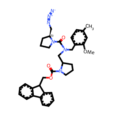 COc1cc(C)ccc1CN(CC1CCCN1C(=O)OCC1c2ccccc2-c2ccccc21)C(=O)N1CCC[C@H]1CN=[N+]=[N-]